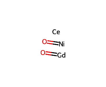 [Ce].[O]=[Gd].[O]=[Ni]